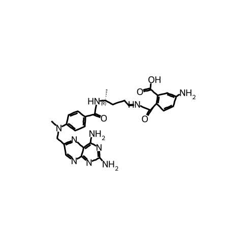 C[C@H](CCCNC(=O)c1ccc(N)cc1C(=O)O)NC(=O)c1ccc(N(C)Cc2cnc3nc(N)nc(N)c3n2)cc1